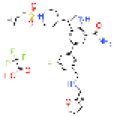 CCS(=O)(=O)N1CCC(c2c[nH]c3c(C(N)=O)cc(-c4cc(F)cc(CNC[C@H]5CCCO5)c4)cc23)CC1.O=C(O)C(F)(F)F